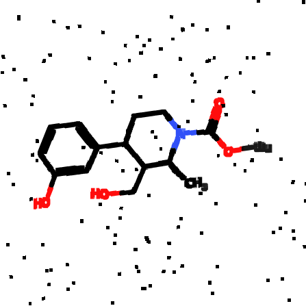 CC1C(CO)C(c2cccc(O)c2)CCN1C(=O)OC(C)(C)C